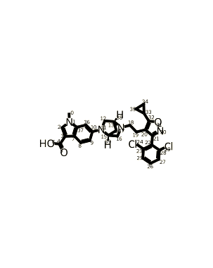 Cn1cc(C(=O)O)c2ccc(N3C[C@H]4C[C@@H]3CN4CCc3c(-c4c(Cl)cccc4Cl)noc3C3CC3)cc21